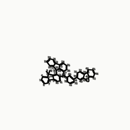 CC1(C)c2ccccc2-c2ccc3c(c21)C1(C)c2ccccc2-c2cccc(c21)N3c1cccc(-c2ccc3c(c2)oc2ccccc23)c1